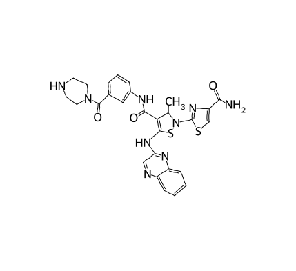 CC1C(C(=O)Nc2cccc(C(=O)N3CCNCC3)c2)=C(Nc2cnc3ccccc3n2)SN1c1nc(C(N)=O)cs1